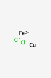 [Cl-].[Cl-].[Cu].[Fe+2]